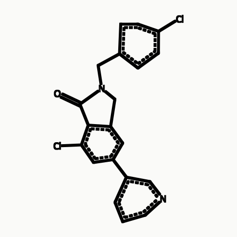 O=C1c2c(Cl)cc(-c3cccnc3)cc2CN1Cc1ccc(Cl)cc1